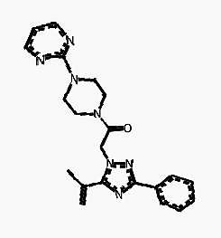 C=C(C)c1nc(-c2ccccc2)nn1CC(=O)N1CCN(c2ncccn2)CC1